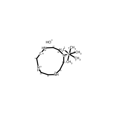 Cl.[CH3][Ti]([CH3])([CH3])([CH3])([CH3])[N]1CCNCCNCCNCC1